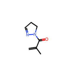 C=C(C)C(=O)N1CCC=N1